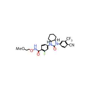 COCCONC(=O)c1ccc(N2C(=O)N(c3ccc(C#N)c(C(F)(F)F)c3)[C@@H]3CCCC[C@H]32)cc1F